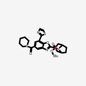 CC(C)(C)OC(=O)N1C2CCC1CN(c1nc3cc(C(=O)N4CCCCC4)cc(-c4nccs4)c3o1)C2